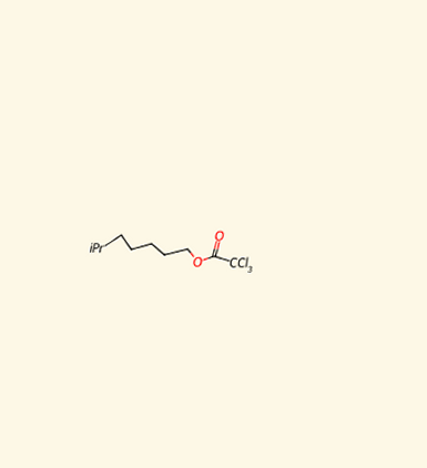 CC(C)CCCCCOC(=O)C(Cl)(Cl)Cl